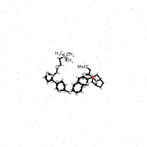 COCC(=O)N1CC2CCC(C1)N2Cc1ccc2cc(Oc3ccc(-c4ccnn4COCC[Si](C)(C)C)cn3)ccc2n1